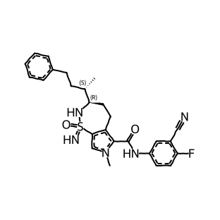 C[C@@H](CCc1ccccc1)[C@H]1CCc2c(cn(C)c2C(=O)Nc2ccc(F)c(C#N)c2)S(=N)(=O)N1